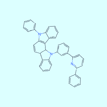 C1=CC2c3ccccc3N(c3cccc(-c4cccc(-c5ccccc5)n4)c3)C2c2c1n(-c1ccccc1)c1ccccc21